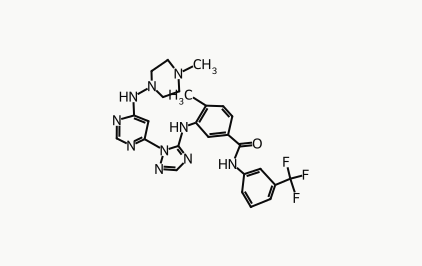 Cc1ccc(C(=O)Nc2cccc(C(F)(F)F)c2)cc1Nc1ncnn1-c1cc(NN2CCN(C)CC2)ncn1